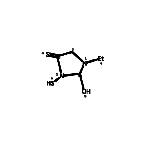 CCN1CC(=S)N(S)C1O